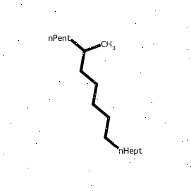 CCCCCCCCCCCCC(C)CCCCC